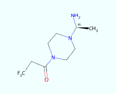 C[C@H](N)N1CCN(C(=O)CC(F)(F)F)CC1